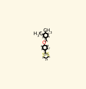 Cc1ccc(COc2ccc(C3SCCCS3)cc2)cc1C